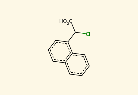 O=C(O)C(Cl)c1cccc2ccccc12